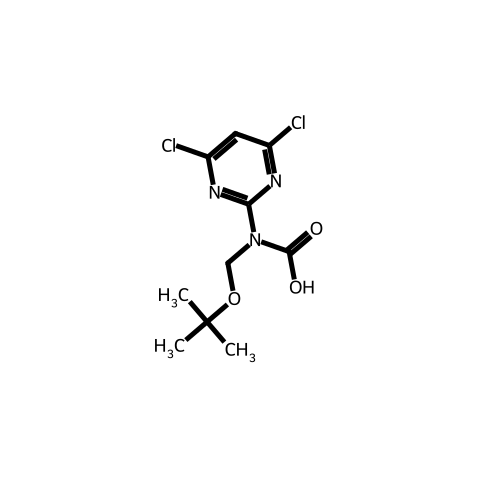 CC(C)(C)OCN(C(=O)O)c1nc(Cl)cc(Cl)n1